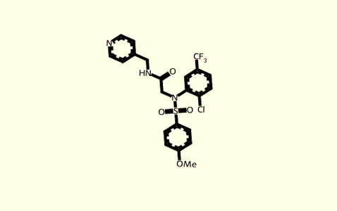 COc1ccc(S(=O)(=O)N(CC(=O)NCc2ccncc2)c2cc(C(F)(F)F)ccc2Cl)cc1